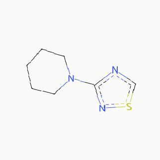 c1nc(N2CCCCC2)ns1